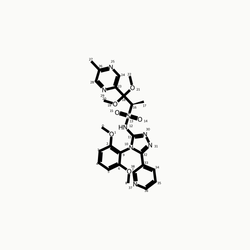 COc1cccc(OC)c1-n1c(NS(=O)(=O)[C@H](C)C(OC)(OC)c2cnc(C)cn2)nnc1-c1cccnc1